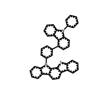 c1ccc(-n2c3ccccc3c3c(-c4cccc(-n5c6ccccc6c6ccc7c8ccccc8sc7c65)c4)cccc32)cc1